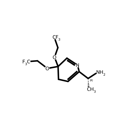 C[C@@H](N)C1=CCC(OCC(F)(F)F)(OCC(F)(F)F)C=N1